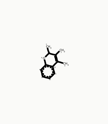 CC1=C(C)C(C)Oc2ccccc21